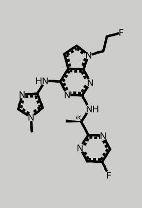 C[C@@H](Nc1nc(Nc2cn(C)cn2)c2ccn(CCF)c2n1)c1ncc(F)cn1